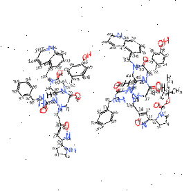 CC(C)(C)OC(=O)N1CCCC1c1cc(CN2CC(=O)N3[C@@H](Cc4ccc(O)cc4)C(=O)N(Cc4cccc5ncccc45)C[C@@H]3N2C(=O)NCc2ccccc2)on1.O=C1[C@H](Cc2ccc(O)cc2)N2C(=O)CN(Cc3cc(C4CCCN4)no3)N(C(=O)NCc3ccccc3)[C@H]2CN1Cc1cccc2ncccc12